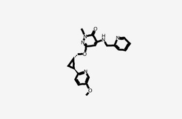 COc1ccc([C@H]2C[C@@H]2COc2cc(NCc3ccccn3)c(=O)n(C)n2)nc1